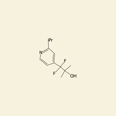 CC(C)c1cc(C(F)(F)C(C)(C)O)ccn1